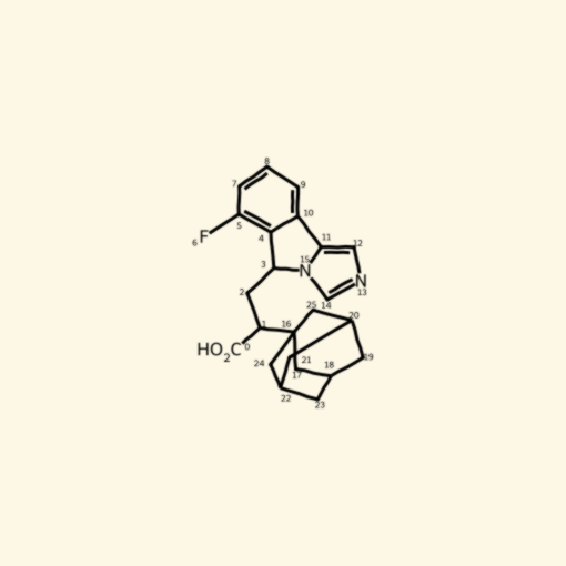 O=C(O)C(CC1c2c(F)cccc2-c2cncn21)C12CC3CC(CC(C3)C1)C2